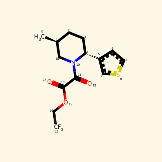 C[C@H]1CC[C@H](c2ccsc2)N(C(=O)C(=O)OCC(F)(F)F)C1